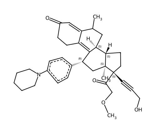 COCC(=O)[C@@]1(C#CCO)CC[C@H]2[C@@H]3CC(C)C4=CC(=O)CCC4=C3[C@@H](c3ccc(N4CCCCC4)cc3)C[C@@]21C